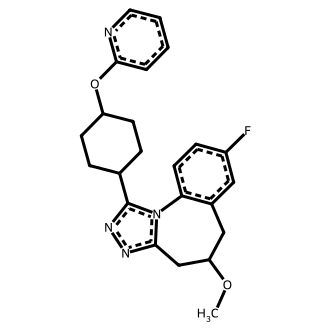 COC1Cc2cc(F)ccc2-n2c(nnc2C2CCC(Oc3ccccn3)CC2)C1